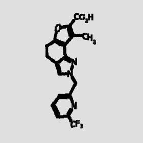 Cc1c(C(=O)O)oc2c1-c1nn(Cc3cccc(C(F)(F)F)n3)cc1CC2